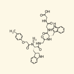 Cc1ccc(OCC(=O)N(C)[C@@H](CC2CNc3ccccc32)C(=O)NCC(=O)N[C@@H](Cc2c[nH]c3ccccc23)C(=O)NCC(=O)NCC(=O)O)cc1